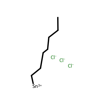 CCCCCC[CH2][Sn+3].[Cl-].[Cl-].[Cl-]